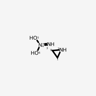 C1CN1.N=[N+](O)O